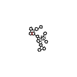 c1ccc(-c2ccc(N(c3cccc(-c4ccc5c(c4)c4ccc6c7cc8c9ccccc9c9ccccc9c8cc7sc6c4n5-c4nc(-c5ccccc5)nc(-c5ccccc5)n4)c3)c3ccccc3-c3ccccc3)cc2)cc1